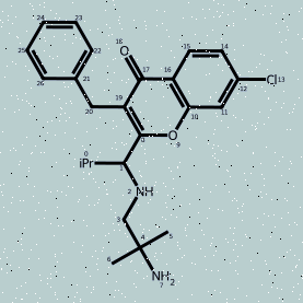 CC(C)C(NCC(C)(C)N)c1oc2cc(Cl)ccc2c(=O)c1Cc1ccccc1